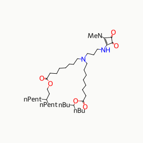 CCCCCC(CCCCC)CCOC(=O)CCCCCCCN(CCCCCCCC(=O)OC(CCCC)CCCC)CCCNc1c(NC)c(=O)c1=O